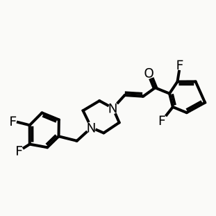 O=C(C=CN1CCN(Cc2ccc(F)c(F)c2)CC1)c1c(F)cccc1F